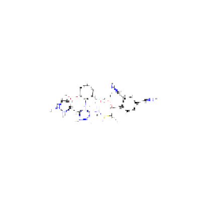 COc1cccc(OC)c1-n1c(NSC(C)C(OC)c2ccc(C#N)cc2C#N)nnc1-c1ccn(C)n1